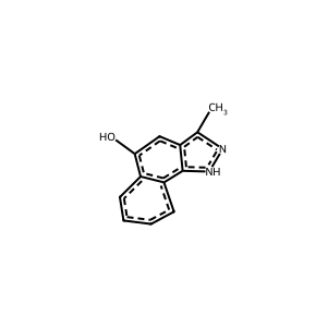 Cc1n[nH]c2c1cc(O)c1ccccc12